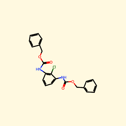 O=C(Nc1cccc(NC(=O)OCc2ccccc2)c1Cl)OCc1ccccc1